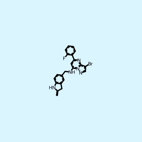 C=C1Cc2cc(CNc3cc(-c4ccccc4F)nc4c(Br)cnn34)ccc2N1